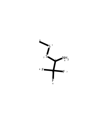 CSSC(N)C(F)(F)F